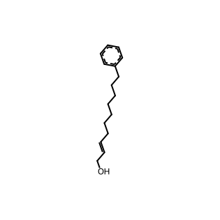 OC/C=C/CCCCCCCc1ccccc1